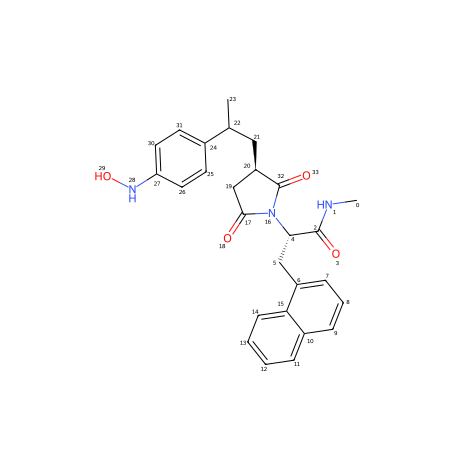 CNC(=O)[C@H](Cc1cccc2ccccc12)N1C(=O)C[C@@H](CC(C)c2ccc(NO)cc2)C1=O